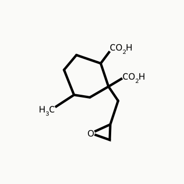 CC1CCC(C(=O)O)C(CC2CO2)(C(=O)O)C1